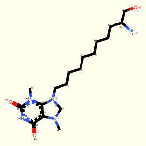 CN1CN(CCCCCCCCCC(N)CO)c2c1c(=O)[nH]c(=O)n2C